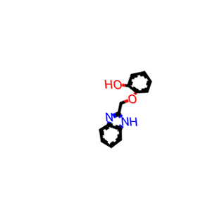 Oc1ccccc1OCc1nc2ccccc2[nH]1